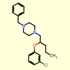 CCCC(CN1CCN(Cc2ccccc2)CC1)Oc1cccc(Cl)c1